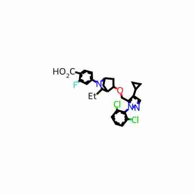 CCC1C2CC(CC2OCc2c(C3CC3)cnn2-c2c(Cl)cccc2Cl)N1c1ccc(C(=O)O)c(F)c1